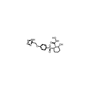 O=C(NO)[C@H]1[C@@H](O)CCCN1S(=O)(=O)c1ccc(OCc2nnn[nH]2)cc1